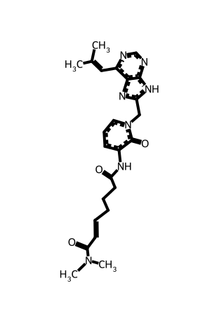 CC(C)=Cc1ncnc2[nH]c(Cn3cccc(NC(=O)CCC/C=C/C(=O)N(C)C)c3=O)nc12